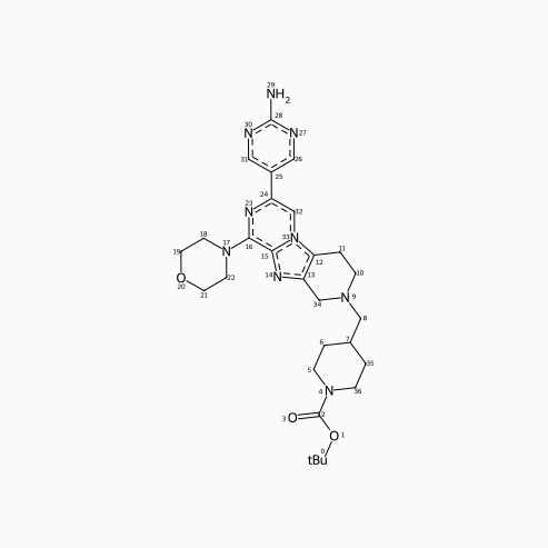 CC(C)(C)OC(=O)N1CCC(CN2CCc3c(nc4c(N5CCOCC5)nc(-c5cnc(N)nc5)cn34)C2)CC1